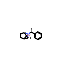 C[C@@H](c1ccccc1)N1CC2CCC1[C@H]2Br